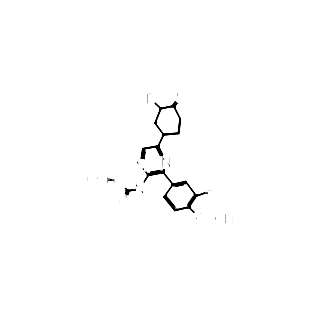 CC(C)(C)OC(=O)Nc1ncc(C2CCC(=O)C(F)C2)nc1-c1ccc(C(=O)O)c(F)c1